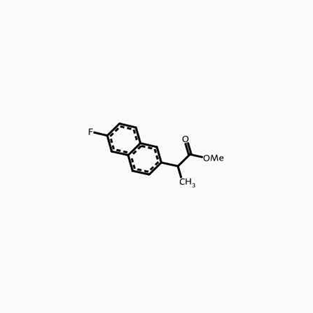 COC(=O)C(C)c1ccc2cc(F)ccc2c1